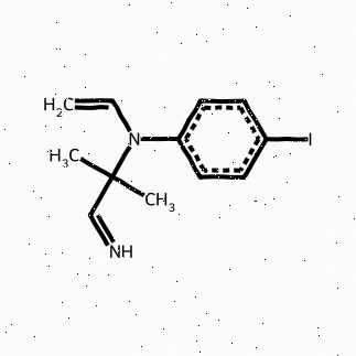 C=CN(c1ccc(I)cc1)C(C)(C)C=N